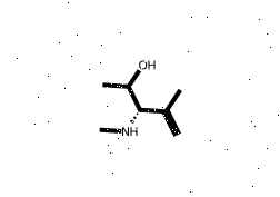 C=C(C)[C@H](NC)C(C)O